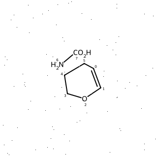 C1=COCCC1.NC(=O)O